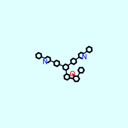 c1ccc(-c2ccc(-c3ccc(-c4cc(-c5ccc(-c6ccc(-c7ccccc7)nc6)cc5)cc(-c5cccc6c5oc5c(-c7ccccc7)cccc56)c4)cc3)cn2)cc1